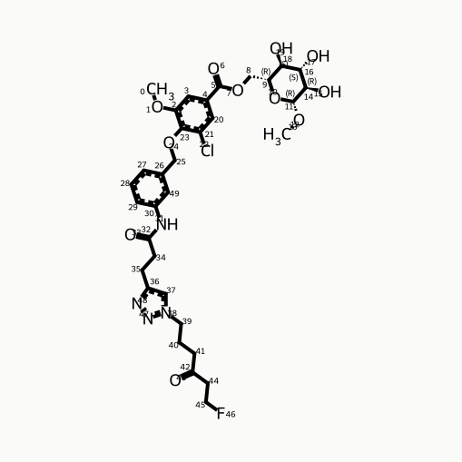 COc1cc(C(=O)OC[C@H]2O[C@@H](OC)[C@H](O)[C@@H](O)[C@@H]2O)cc(Cl)c1OCc1cccc(NC(=O)CCc2cn(CCCC(=O)CCF)nn2)c1